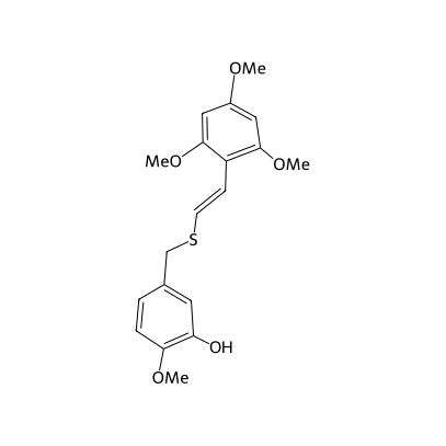 COc1cc(OC)c(C=CSCc2ccc(OC)c(O)c2)c(OC)c1